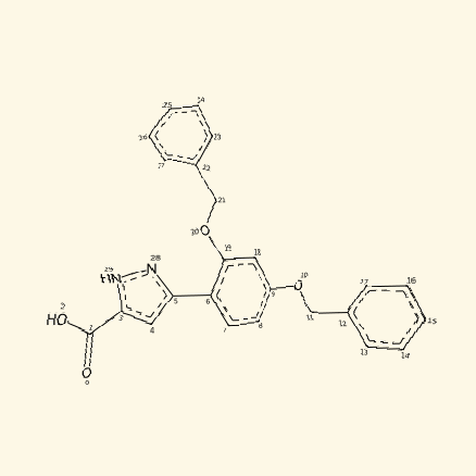 O=C(O)c1cc(-c2ccc(OCc3ccccc3)cc2OCc2ccccc2)n[nH]1